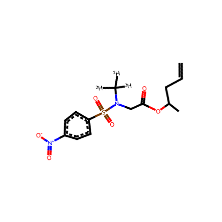 [2H]C([2H])([2H])N(CC(=O)OC(C)CC=C)S(=O)(=O)c1ccc([N+](=O)[O-])cc1